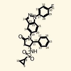 O=C1C[C@H](NS(=O)(=O)C2CC2)C(c2ccccc2)N1c1ccc2c(cnn2-c2ccc(F)cc2)c1